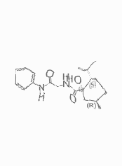 CC(C)[C@@H]1CC[C@@H](C)C[C@@]1(O)C(=O)NCC(=O)Nc1ccccc1